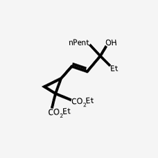 CCCCCC(O)(C=CC1CC1(C(=O)OCC)C(=O)OCC)CC